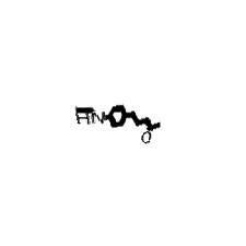 CCNc1ccc(CCCC(C)=O)cc1